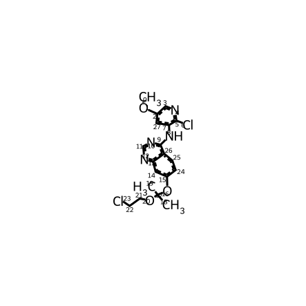 COc1cnc(Cl)c(Nc2ncnc3cc(OC(C)(C)OCCCl)ccc23)c1